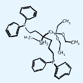 CCO[Si](CC)(OCC)OC(CCCP(c1ccccc1)c1ccccc1)(CCP(c1ccccc1)c1ccccc1)[SiH2]C